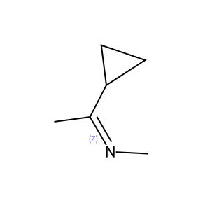 C/N=C(/C)C1CC1